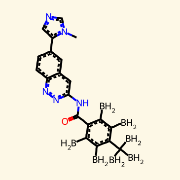 Bc1c(B)c(C(B)(B)B)c(B)c(B)c1C(=O)Nc1cc2cc(-c3cncn3C)ccc2nn1